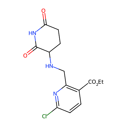 CCOC(=O)c1ccc(Cl)nc1CNC1CCC(=O)NC1=O